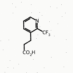 O=C(O)CCc1cccnc1C(F)(F)F